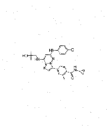 Cc1cc(-c2cnc3c(NCC(C)(C)O)cc(Nc4ccc(Cl)cc4)nn23)ccc1C(=O)NC1CC1